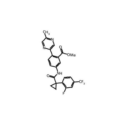 COC(=O)c1cc(NC(=O)C2(c3ccc(C(F)(F)F)cc3F)CC2)ccc1-c1cnc(C)cn1